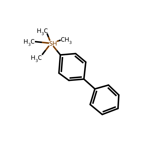 C[SH](C)(C)(C)c1ccc(-c2ccccc2)cc1